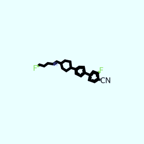 N#Cc1ccc(-c2ccc(C3CCC(/C=C/CCCF)CC3)cc2)cc1F